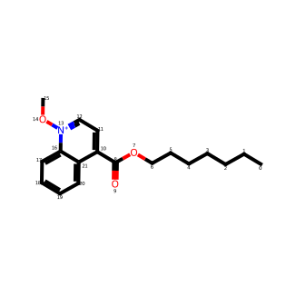 CCCCCCCOC(=O)c1cc[n+](OC)c2ccccc12